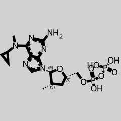 C[C@H]1C[C@@H](COP(=O)(O)OP(=O)(O)O)O[C@H]1n1cnc2c(N(C)C3CC3)nc(N)nc21